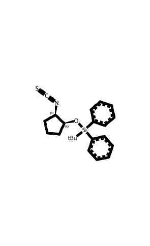 CC(C)(C)[Si](O[C@H]1CCC[C@H]1N=C=S)(c1ccccc1)c1ccccc1